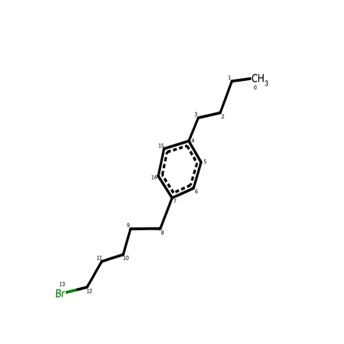 CCCCc1ccc(CCCCCBr)cc1